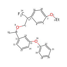 CCOc1ccc(C(COC(C)c2cccc(Oc3ccccc3)c2)C(F)(F)F)cc1